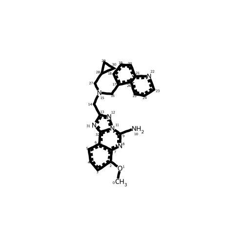 COc1cccc2c1nc(N)n1nc(CN(Cc3cccc4ncccc34)CC3CC3)nc21